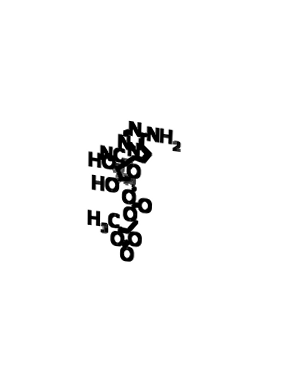 Cc1oc(=O)oc1COC(=O)OC[C@H]1O[C@@](C#N)(c2ccc3c(N)ncnn23)[C@H](O)[C@@H]1O